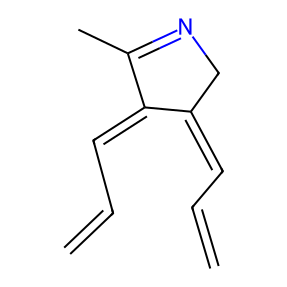 C=C/C=C1/CN=C(C)/C1=C/C=C